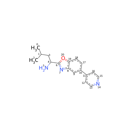 CC(C)CC(N)c1nc2cc(-c3ccncc3)ccc2o1